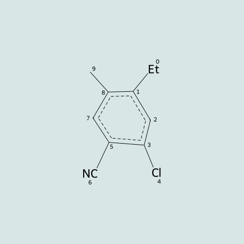 CCc1cc(Cl)c(C#N)cc1C